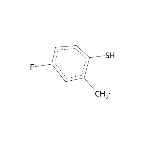 [CH2]c1cc(F)ccc1S